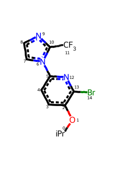 CC(C)Oc1ccc(-n2ccnc2C(F)(F)F)nc1Br